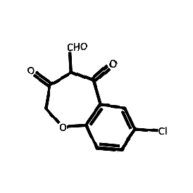 O=CC1C(=O)COc2ccc(Cl)cc2C1=O